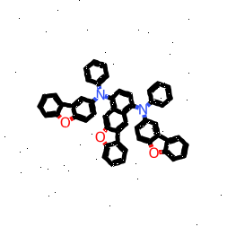 c1ccc(N(c2ccc3oc4ccccc4c3c2)c2ccc(N(c3ccccc3)c3ccc4oc5ccccc5c4c3)c3cc4c(cc23)oc2ccccc24)cc1